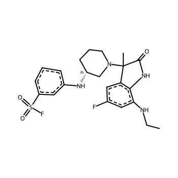 CCNc1cc(F)cc2c1NC(=O)C2(C)N1CCC[C@@H](Nc2cccc(S(=O)(=O)F)c2)C1